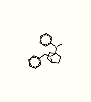 CN(c1ccccc1)C12CCC(CC1)N2Cc1ccccc1